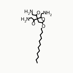 CCCCCCCCCCCCOC(C)CC(C(=O)CN)(C(=O)CN)C(=O)CN